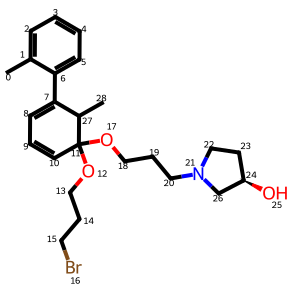 Cc1ccccc1C1=CC=CC(OCCCBr)(OCCCN2CC[C@@H](O)C2)C1C